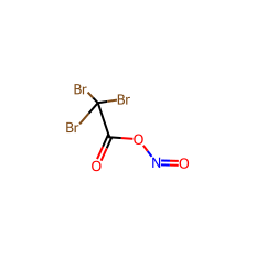 O=NOC(=O)C(Br)(Br)Br